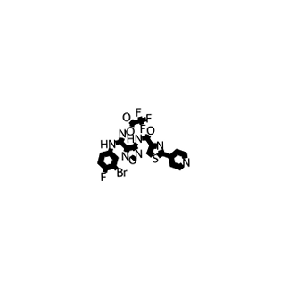 O=C(Nc1nonc1/C(=N\OC(=O)C(F)(F)F)Nc1ccc(F)c(Br)c1)c1csc(-c2ccncc2)n1